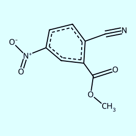 COC(=O)c1cc([N+](=O)[O-])ccc1C#N